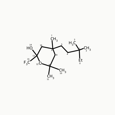 CCC(C)(C)CCC1(C)CC(C)(C)OC(O)(C(F)(F)F)C1